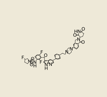 O=C1CCC(N2Cc3cc(N4CCN(CCc5ccc(-c6cnc7[nH]cc(C(=O)c8c(F)ccc(NS(=O)(=O)N9CCC(F)C9)c8F)c7c6)cc5)CC4)ccc3C2=O)C(=O)N1